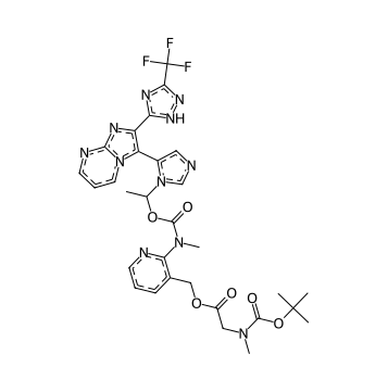 CC(OC(=O)N(C)c1ncccc1COC(=O)CN(C)C(=O)OC(C)(C)C)n1cncc1-c1c(-c2nc(C(F)(F)F)n[nH]2)nc2ncccn12